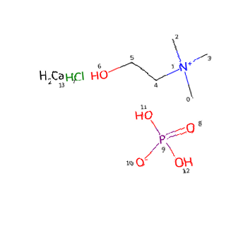 C[N+](C)(C)CCO.Cl.O=P([O-])(O)O.[CaH2]